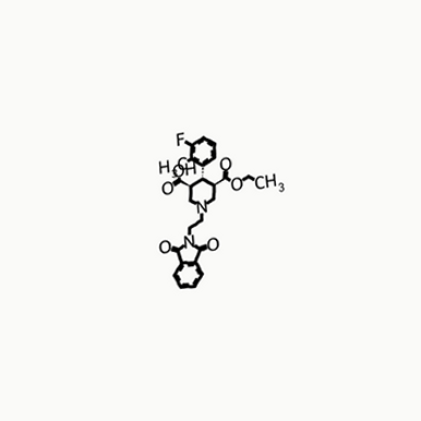 CCOC(=O)[C@H]1CN(CCN2C(=O)c3ccccc3C2=O)C[C@@H](C(=O)O)[C@@H]1c1cccc(F)c1C